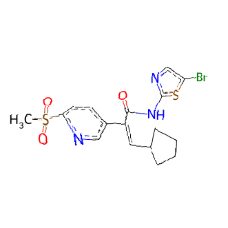 CS(=O)(=O)c1ccc(C(=CC2CCCC2)C(=O)Nc2ncc(Br)s2)cn1